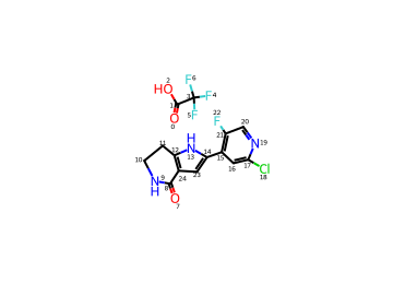 O=C(O)C(F)(F)F.O=C1NCCc2[nH]c(-c3cc(Cl)ncc3F)cc21